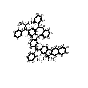 CC[C@H](C)C(C)N(c1ccccc1)c1cc2c3c(c1)c1ccc(N(c4ccccc4)c4ccc5c(c4)C(C)(C)c4cc6ccccc6cc4-5)cc1n3-c1ccccc1C=C2c1ccccc1